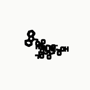 CC(C)(C)OC(=O)C[C@@]12CN(NC(=O)OCC3c4ccccc4-c4ccccc43)CC[N+]1([O-])[C@H](CC(=O)O)CC2=O